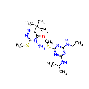 CCNc1nc(NC(C)C)nc(SC)n1.CSc1nnc(C(C)(C)C)c(=O)n1N